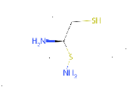 NS[C@@H](N)CS